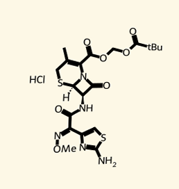 CO/N=C(/C(=O)N[C@@H]1C(=O)N2C(C(=O)OCOC(=O)C(C)(C)C)=C(C)CS[C@H]12)c1csc(N)n1.Cl